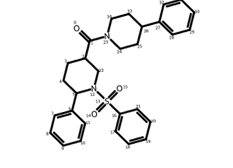 O=C(C1CCC(c2ccccc2)N(S(=O)(=O)c2ccccc2)C1)N1CCC(c2ccccc2)CC1